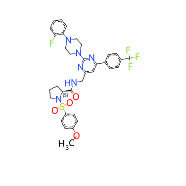 COc1ccc(S(=O)(=O)N2CCC[C@H]2C(=O)NCc2cc(-c3ccc(C(F)(F)F)cc3)nc(N3CCN(c4ccccc4F)CC3)n2)cc1